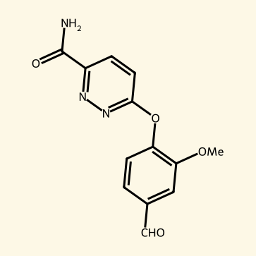 COc1cc(C=O)ccc1Oc1ccc(C(N)=O)nn1